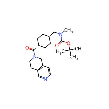 CN(C[C@H]1CC[C@H](C(=O)N2CCc3cnccc3C2)CC1)C(=O)OC(C)(C)C